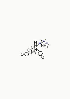 C=C1N(Cc2ccc(OC)cc2)C(=O)N=C(NC/C=C(N)/N=C(C)\C=C\C)N1Cc1ccc(OC)cc1